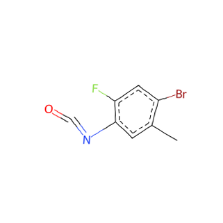 Cc1cc(N=C=O)c(F)cc1Br